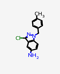 Cc1ccc(Cn2nc(Cl)c3cc(N)ccc32)cc1